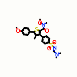 COc1ccc(-c2sc(C(=O)N(C)OC)c(-c3ccc(S(=O)(=O)N=CN(C)C)cc3)c2C)cc1